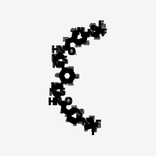 O=C(Cc1ccc(N2CC(F)(F)C2)nc1)Nc1nnc([C@H]2CCC[C@H](c3nnc(NC(=O)Cc4ccc(N5CC(F)(F)C5)nc4)s3)C2)s1